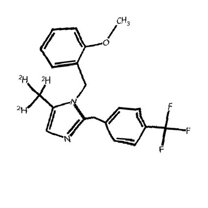 [2H]C([2H])([2H])c1cnc(-c2ccc(C(F)(F)F)cc2)n1Cc1ccccc1OC